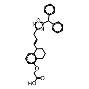 O=C(O)COc1cccc2c1CCCC2/C=C/Cc1noc(C(c2ccccc2)c2ccccc2)n1